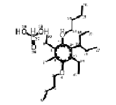 CCCCOc1c(C)c(CC)c(OCCCC)c(C(CC)CC)c1CC.O=[PH](O)O